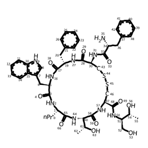 CCC[C@@H]1NC(=O)[C@@H](Cc2c[nH]c3ccccc23)NC(=O)[C@H](Cc2ccccc2)NC(=O)[C@@H](NC(=O)[C@H](N)Cc2ccccc2)CSSC[C@@H](C(=O)N[C@H](CO)[C@@H](C)O)NC(=O)[C@H]([C@@H](C)O)NC1=O